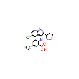 Cc1ccc(Nc2c(C3CCOCC3)cnc3ccc(Cl)cc23)c(C(=O)O)c1